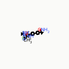 CC(C)(F)C[C@H](N[C@@H](c1ccc(-c2ccc(C3(C(N)=O)CC3)cc2)cc1)C(F)(F)F)C(=O)NC1(N)CC1